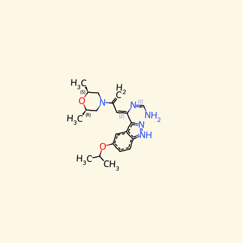 C=C(/C=C(\N=C/N)c1n[nH]c2ccc(OC(C)C)cc12)N1C[C@@H](C)O[C@@H](C)C1